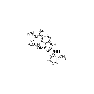 CCCN(CCC(=O)O)N(C(C)=O)c1ccc(NC(=O)Nc2ccccc2C)c(OC)c1